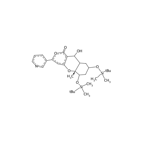 CC(C)(C)[Si](C)(C)OC1CC(O[Si](C)(C)C(C)(C)C)[C@]2(C)Oc3cc(-c4cccnc4)oc(=O)c3C(O)C2C1